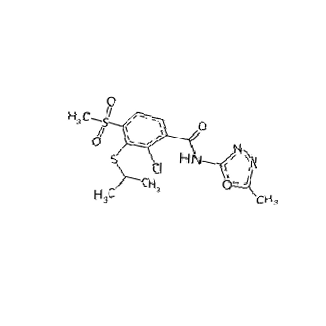 Cc1nnc(NC(=O)c2ccc(S(C)(=O)=O)c(SC(C)C)c2Cl)o1